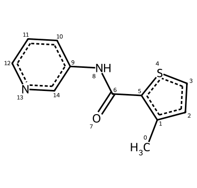 Cc1ccsc1C(=O)Nc1cccnc1